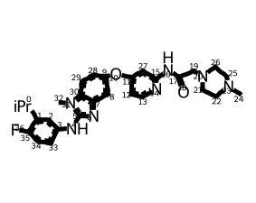 CC(C)c1cc(Nc2nc3cc(Oc4ccnc(NC(=O)CN5CCN(C)CC5)c4)ccc3n2C)ccc1F